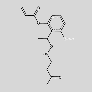 C=CC(=O)Oc1cccc(OC)c1C(C)ONCCC(C)=O